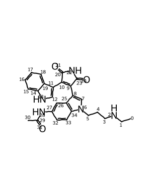 CCNCCCn1cc(C2=C(c3c[nH]c4ccccc34)C(=O)NC2=O)c2cc(NC(C)=O)ccc21